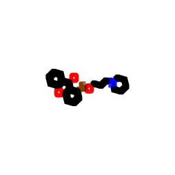 O=c1c2ccccc2oc2cccc(SOCCCN3CCCCC3)c12